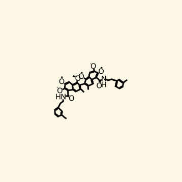 COc1cc2c(OC)c(-c3c(C)cc4c(C(=O)NCCc5cccc(C)c5)c(OC)c(OC)cc4c3OC)c(C)cc2c(C(=O)NCCc2cccc(C)c2)c1OC